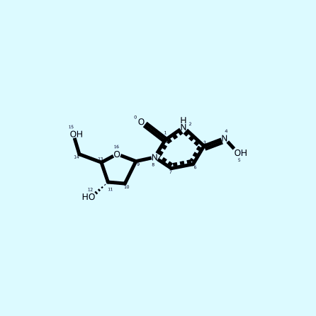 O=c1[nH]/c(=N/O)ccn1C1C[C@H](O)C(CO)O1